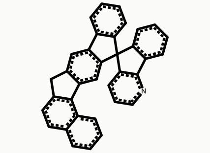 c1ccc2c(c1)-c1cc3c(cc1C21c2ccccc2-c2ncccc21)-c1c(ccc2ccccc12)C3